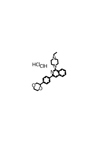 CCN1CCN(c2nc(-c3ccc(C4COCCO4)cc3)cc3ccccc23)CC1.Cl.Cl